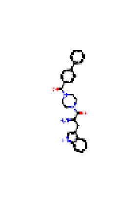 NC(Cc1c[nH]c2ccccc12)C(=O)N1CCN(C(=O)c2ccc(-c3ccccc3)cc2)CC1